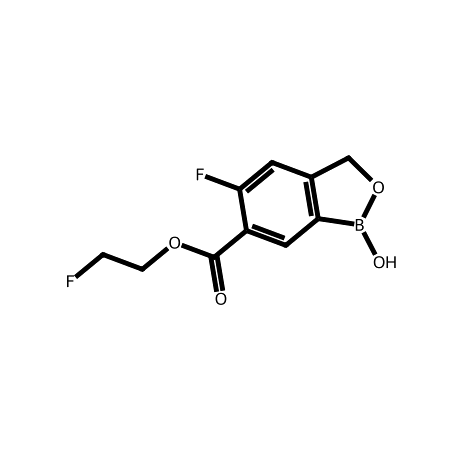 O=C(OCCF)c1cc2c(cc1F)COB2O